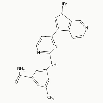 CC(C)n1cc(-c2ccnc(Nc3cc(C(N)=O)cc(C(F)(F)F)c3)n2)c2ccncc21